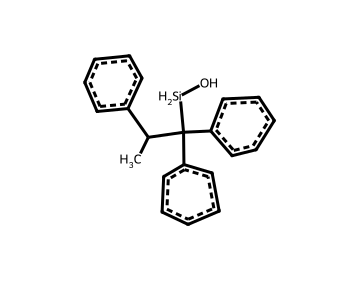 CC(c1ccccc1)C([SiH2]O)(c1ccccc1)c1ccccc1